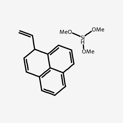 C=CC1C=Cc2cccc3cccc1c23.CO[SiH](OC)OC